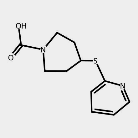 O=C(O)N1CCC(Sc2ccccn2)CC1